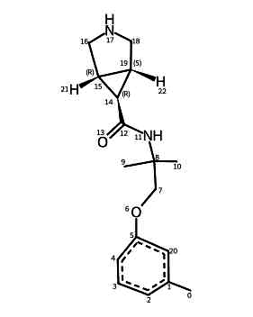 Cc1cccc(OCC(C)(C)NC(=O)[C@H]2[C@@H]3CNC[C@@H]32)c1